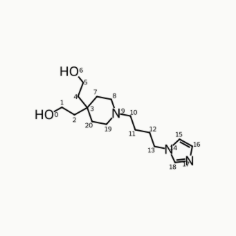 OCCC1(CCO)CCN(CCCCn2ccnc2)CC1